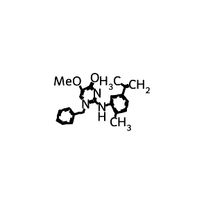 C=C(C)c1ccc(C)c(Nc2nc(=O)c(OC)cn2Cc2ccccc2)c1